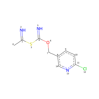 CC(=N)SC(=N)OCc1ccc(Cl)nc1